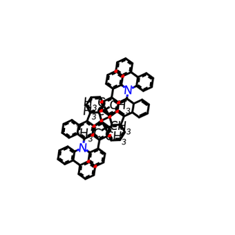 CC(C)(C)C1(C2(C(C)(C)C)c3ccccc3-c3c2cc(N(c2ccccc2-c2ccccc2)c2ccccc2-c2ccccc2)c2ccccc32)C2=C(c3ccccc31)C1C=CC=CC1C(N(c1ccccc1-c1ccccc1)c1ccccc1-c1ccccc1)=C2